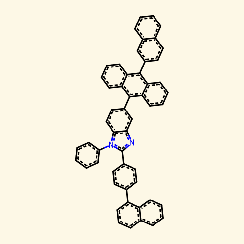 c1ccc(-n2c(-c3ccc(-c4cccc5ccccc45)cc3)nc3cc(-c4c5ccccc5c(-c5ccc6ccccc6c5)c5ccccc45)ccc32)cc1